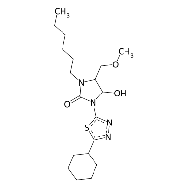 CCCCCCN1C(=O)N(c2nnc(C3CCCCC3)s2)C(O)C1COC